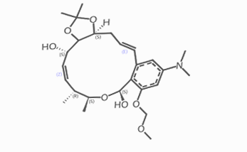 COCOc1cc(N(C)C)cc2c1[C@@H](O)O[C@@H](C)[C@H](C)/C=C\[C@H](O)C1OC(C)(C)O[C@H]1C/C=C/2